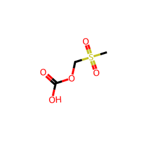 CS(=O)(=O)COC(=O)O